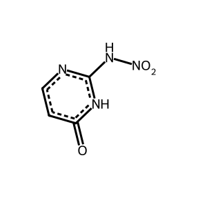 O=c1ccnc(N[N+](=O)[O-])[nH]1